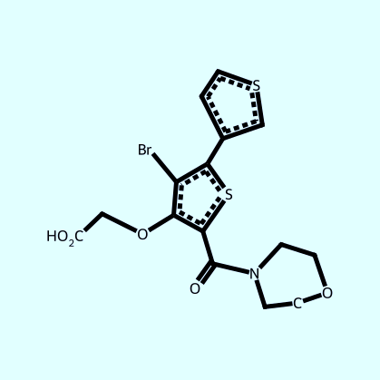 O=C(O)COc1c(C(=O)N2CCOCC2)sc(-c2ccsc2)c1Br